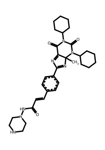 CC12N=C(c3ccc(/C=C/C(=O)NN4CCNCC4)cc3)N=C1C(=O)N(C1CCCCC1)C(=O)N2C1CCCCC1